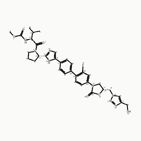 COC(=O)N[C@H](C(=O)N1CCC[C@H]1c1ncc(-c2ccc(-c3ccc(N4C[C@H](Cn5cc(CO)nn5)OC4=O)cc3F)cc2)[nH]1)C(C)C